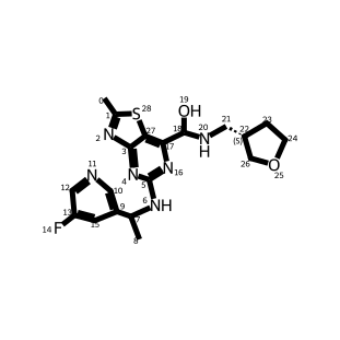 Cc1nc2nc(NC(C)c3cncc(F)c3)nc(C(O)NC[C@@H]3CCOC3)c2s1